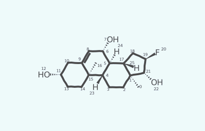 C[C@]12CC[C@H]3[C@@H]([C@@H](O)C=C4C[C@@H](O)CC[C@@]43C)[C@@H]1C[C@@H](F)[C@@H]2O